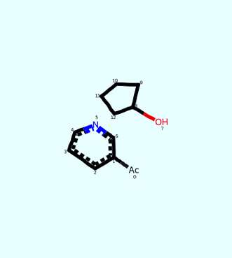 CC(=O)c1cccnc1.OC1CCCC1